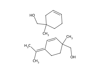 CC(C)=C1C=CC(C)(CO)CC1.CC1(CO)CC=CCC1